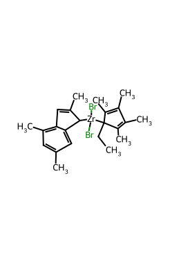 CC[C]1([Zr]([Br])([Br])[CH]2C(C)=Cc3c(C)cc(C)cc32)C(C)=C(C)C(C)=C1C